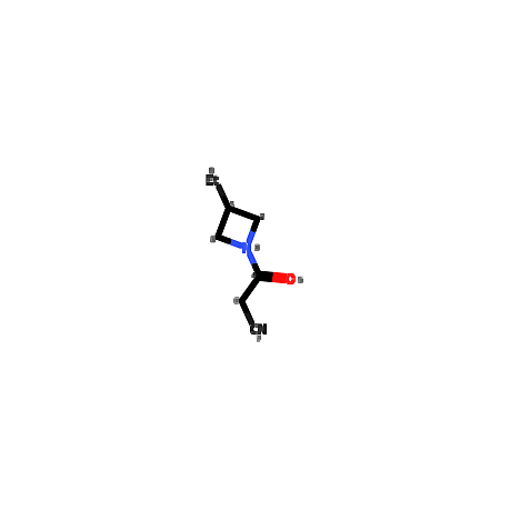 CCC1CN(C(=O)CC#N)C1